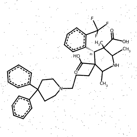 CC1NC(C)C(CCCN2CCC(c3ccccc3)(c3ccccc3)CC2)(C(=O)O)[C@H](c2ccccc2C(F)(F)F)C1(C)C(=O)O